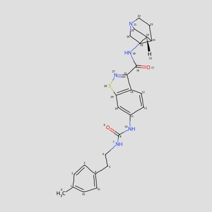 Cc1ccc(CCNC(=O)Nc2ccc3c(C(=O)N[C@@H]4CN5CCC4CC5)nsc3c2)cc1